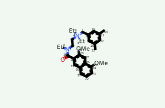 CCN(CC[N+](CC)(CC)Cc1cc(C)cc(C)c1)C(=O)c1cc2cccc(OC)c2cc1OC